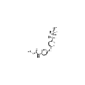 CO[C@]1(C)C=CC1(C)S(=O)(=O)C1=CC=C(Oc2ccc(NC(=O)CS)cc2)CC1